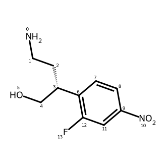 NCC[C@@H](CO)c1ccc([N+](=O)[O-])cc1F